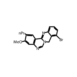 CCCc1cc2c(cc1OC)N=CN1Cc3c(Br)cccc3N=C21